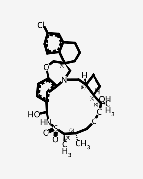 C[C@@H]1[C@@H](C)CCC[C@@](C)(O)[C@@H]2CC[C@H]2CN2C[C@@]3(CCCc4cc(Cl)ccc43)COc3ccc(cc32)C(O)NS1(=O)=O